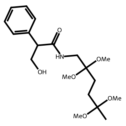 COC(C)(CCC(CNC(=O)C(CO)c1ccccc1)(OC)OC)OC